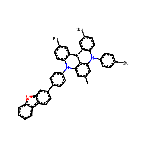 Cc1cc2c3c(c1)N(c1ccc(C(C)(C)C)cc1)c1ccc(C(C)(C)C)cc1B3c1cc(C(C)(C)C)ccc1N2c1ccc(-c2ccc3c(c2)oc2ccccc23)cc1